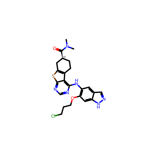 CN(C)C(=O)[C@H]1CCc2c(sc3ncnc(Nc4cc5cn[nH]c5cc4OCCCCl)c23)C1